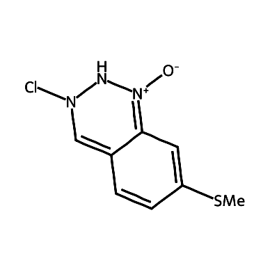 CSc1ccc2c(c1)=[N+]([O-])NN(Cl)C=2